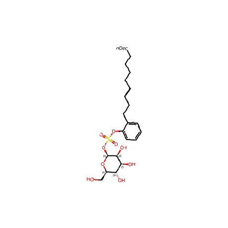 CCCCCCCCCCCCCCCCCCc1ccccc1OS(=O)(=O)O[C@@H]1O[C@H](CO)[C@@H](O)[C@H](O)[C@@H]1O